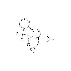 CC(C)CC1=CN(c2ccccc2C(F)(F)F)C(C=O)N1CC1CC1